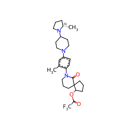 Cc1cc(N2CCC(N3CCC[C@@H]3C)CC2)ccc1N1CCCC2(CCCC2OC(=O)C(F)(F)F)C1=O